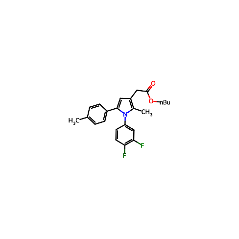 CCCCOC(=O)Cc1cc(-c2ccc(C)cc2)n(-c2ccc(F)c(F)c2)c1C